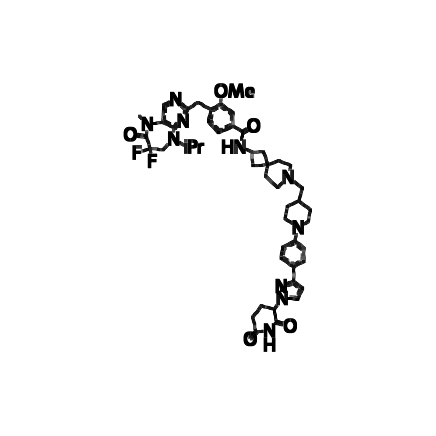 COc1cc(C(=O)NC2CC3(CCN(CC4CCN(c5ccc(-c6ccn(C7CCC(=O)NC7=O)n6)cc5)CC4)CC3)C2)ccc1Cc1ncc2c(n1)N(C(C)C)CC(F)(F)C(=O)N2C